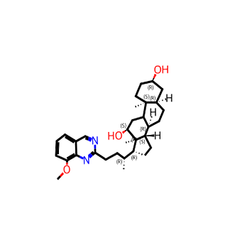 COc1cccc2cnc(CC[C@@H](C)[C@H]3CC[C@H]4[C@@H]5CC[C@@H]6C[C@H](O)CC[C@]6(C)C5C[C@H](O)[C@]34C)nc12